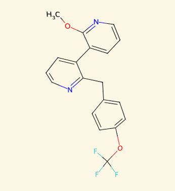 COc1ncccc1-c1cccnc1Cc1ccc(OC(F)(F)F)cc1